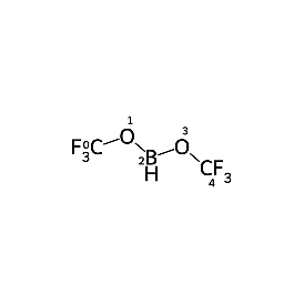 FC(F)(F)OBOC(F)(F)F